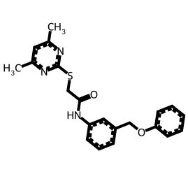 Cc1cc(C)nc(SCC(=O)Nc2cccc(COc3ccccc3)c2)n1